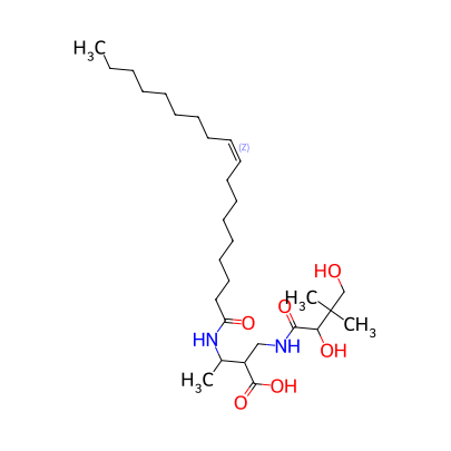 CCCCCCCC/C=C\CCCCCCCC(=O)NC(C)C(CNC(=O)C(O)C(C)(C)CO)C(=O)O